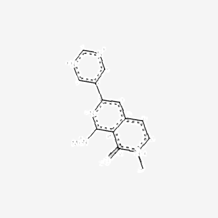 CNc1nc(-c2cncnc2)cc2ccn(C)c(=O)c12